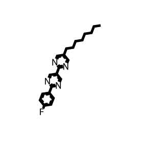 CCCCCCCCc1cnc(-c2cnc(-c3ccc(F)cc3)nc2)nc1